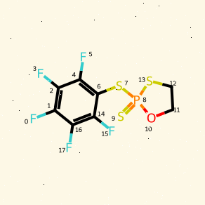 Fc1c(F)c(F)c(SP2(=S)OCCS2)c(F)c1F